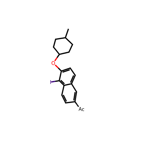 CC(=O)c1ccc2c(I)c(OC3CCC(C)CC3)ccc2c1